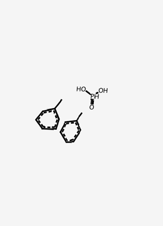 Cc1ccccc1.Cc1ccccc1.O=[PH](O)O